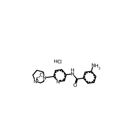 Cl.Nc1cccc(C(=O)Nc2ccc(N3CCN4CCC3CC4)nc2)c1